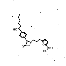 CCCCCC(O)c1ccc(N2C(=O)C[C@@H]2CCCc2ccc(C(=O)O)o2)cc1